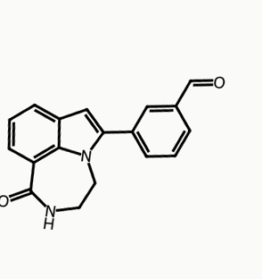 O=Cc1cccc(-c2cc3cccc4c3n2CCNC4=O)c1